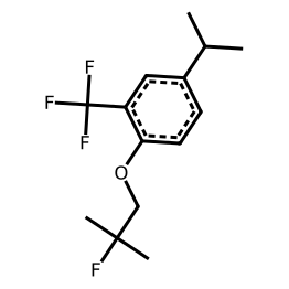 CC(C)c1ccc(OCC(C)(C)F)c(C(F)(F)F)c1